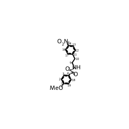 COc1ccc(S(=O)(=O)NCCc2ccc([N+](=O)[O-])cc2)cc1